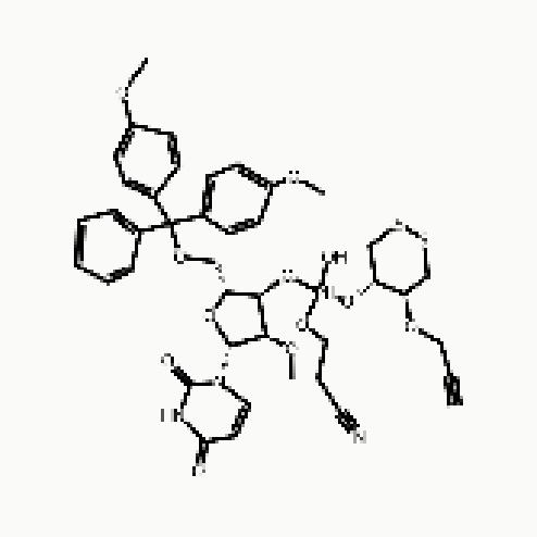 C#CCO[C@@H]1CSSC[C@H]1O[PH](O)(OCCC#N)O[C@H]1[C@@H](OC)[C@H](n2ccc(=O)[nH]c2=O)O[C@@H]1COC(c1ccccc1)(c1ccc(OC)cc1)c1ccc(OC)cc1